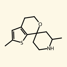 Cc1cc2c(s1)C1(CCNC(C)C1)OCC2